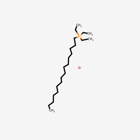 CCCCCCCCCCCCCCCC[P+](CC)(CC)CC.[Br-]